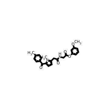 COc1cccc(OC(=O)CNC(=O)Cc2ccc(C(=O)c3ccc(C)cc3)n2C)c1